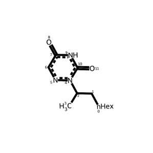 CCCCCCCC(C)n1ncc(=O)[nH]c1=O